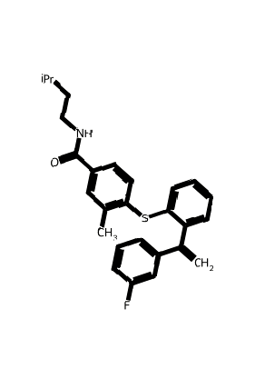 C=C(c1cccc(F)c1)c1ccccc1Sc1ccc(C(=O)NCCC(C)C)cc1C